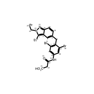 CCc1c2cc(Cc3c(Br)cc(NC(=O)CC(=O)O)cc3Br)ccc2nn1CC(C)C